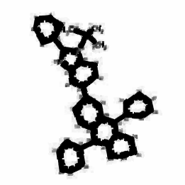 CC(C)(C)n1c(-c2ccccc2)nc2cc(-c3ccc4c(-c5ccccc5)c5ccccc5c(-c5ccccc5)c4c3)ccc21